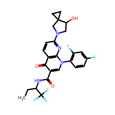 CCC(NC(=O)c1cn(-c2ccc(F)cc2F)c2nc(N3CC(O)C4(CC4)C3)ccc2c1=O)C(F)(F)F